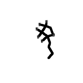 CCCCC1(F)OCC(F)(F)C1(F)F